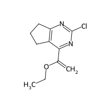 C=C(OCC)c1nc(Cl)nc2c1CCC2